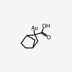 O=C(O)[C]1([Au])CC2CCC1C2